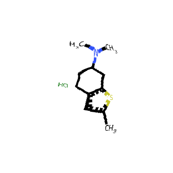 Cc1cc2c(s1)CC(N(C)C)CC2.Cl